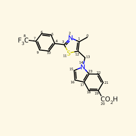 Cc1nc(-c2ccc(C(F)(F)F)cc2)sc1Cn1ccc2cc(C(=O)O)ccc21